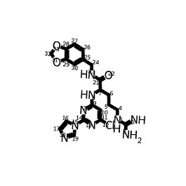 N=C(N)NCCCC(Nc1cc(Cl)nc(-n2ccnc2)n1)C(=O)NCc1ccc2c(c1)OCO2